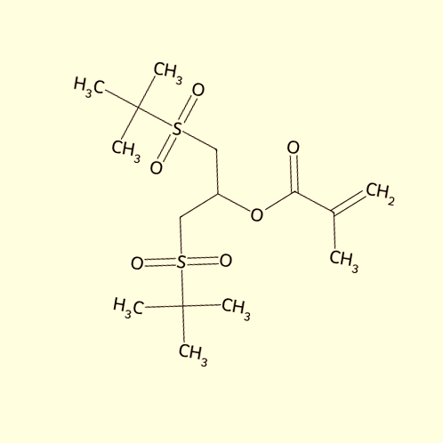 C=C(C)C(=O)OC(CS(=O)(=O)C(C)(C)C)CS(=O)(=O)C(C)(C)C